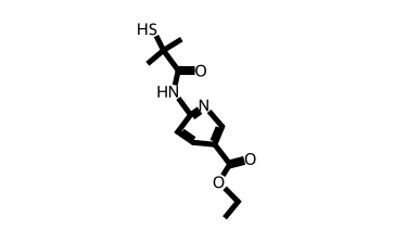 CCOC(=O)c1ccc(NC(=O)C(C)(C)S)nc1